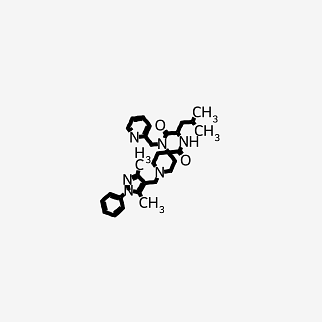 Cc1nn(-c2ccccc2)c(C)c1CN1CCC2(CC1)C(=O)NC(CC(C)C)C(=O)N2Cc1ccccn1